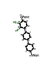 CCCCCCCCCc1ccc(-c2ccc(-c3ccc(CCCCC)c(F)c3F)cc2)cc1